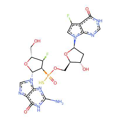 Nc1nc2c(ncn2[C@@H]2O[C@H](CO)[C@@H](F)[C@H]2P(=O)(S)OC[C@H]2O[C@@H](n3cc(F)c4c(=O)[nH]cnc43)C[C@@H]2O)c(=O)[nH]1